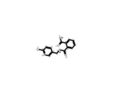 O=C(O)c1ccccc1C(=O)NCc1ccc(Cl)nc1